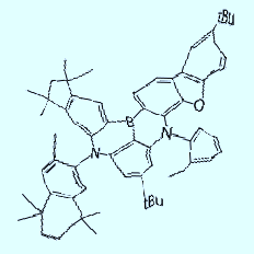 Cc1cc2c(cc1N1c3cc4c(cc3B3c5ccc6c(oc7ccc(C(C)(C)C)cc76)c5N(c5ccccc5C)c5cc(C(C)(C)C)cc1c53)C(C)(C)CC4(C)C)C(C)(C)CCC2(C)C